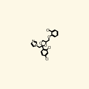 Clc1ccc(C2(Cn3ccnc3)OCC(COc3ccccc3Cl)O2)c(Cl)c1